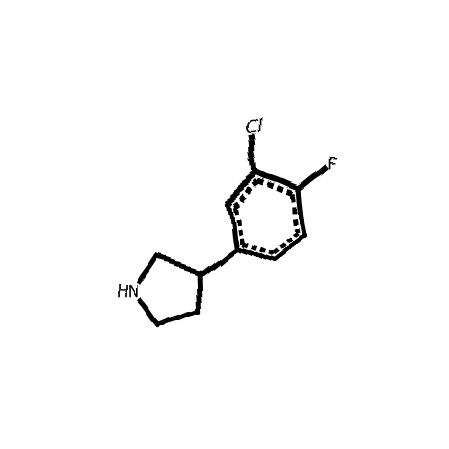 Fc1ccc(C2CCNC2)cc1Cl